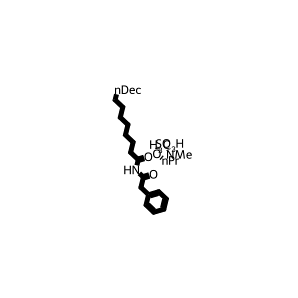 CCCCCCCCCCCCCCCCCC(=O)NC(=O)Cc1ccccc1.CCCOS(=O)(=O)O.CNC